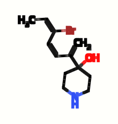 C=C(/C=C\C(Br)=C/C)C1(O)CCNCC1